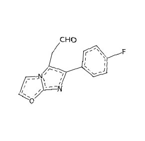 O=CCc1c(-c2ccc(F)cc2)nc2occn12